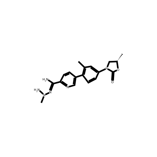 Cc1cc(N2C[C@H](C)OC2=O)ccc1-c1ccc(/C(N)=N/N(C)N)nc1